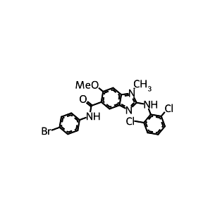 COc1cc2c(cc1C(=O)Nc1ccc(Br)cc1)nc(Nc1c(Cl)cccc1Cl)n2C